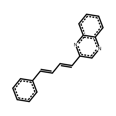 C(C=Cc1cnc2ccccc2n1)=Cc1ccccc1